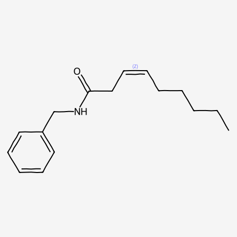 CCCCC/C=C\CC(=O)NCc1ccccc1